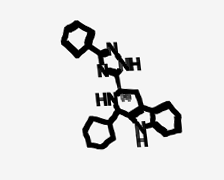 c1ccc(-c2n[nH]c([C@H]3Cc4c([nH]c5ccccc45)C(C4CCCCC4)N3)n2)cc1